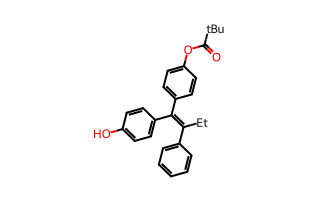 CCC(=C(c1ccc(O)cc1)c1ccc(OC(=O)C(C)(C)C)cc1)c1ccccc1